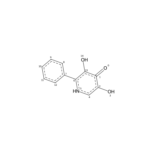 O=c1c(O)c[nH]c(-c2ccccc2)c1O